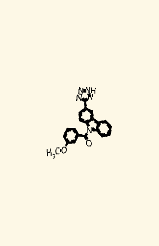 COc1cccc(C(=O)n2c3ccccc3c3cc(-c4nn[nH]n4)ccc32)c1